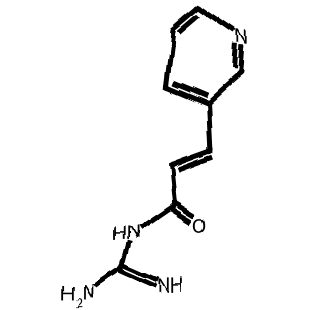 N=C(N)NC(=O)C=Cc1cccnc1